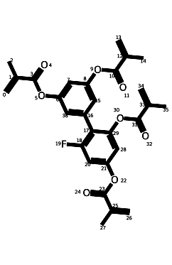 C=C(C)C(=O)Oc1cc(OC(=O)C(=C)C)cc(-c2c(F)cc(OC(=O)C(=C)C)cc2OC(=O)C(=C)C)c1